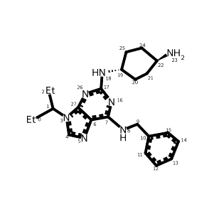 CCC(CC)n1cnc2c(NCc3ccccc3)nc(N[C@H]3CC[C@H](N)CC3)nc21